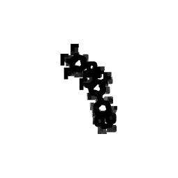 Fc1cc(OC(F)(F)c2c(F)cc(C3CCC4(CC3)OCCO4)cc2F)cc(F)c1F